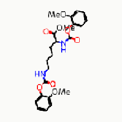 COC(=O)C(CCCCNC(=O)Oc1ccccc1OC)NC(=O)Oc1ccccc1OC